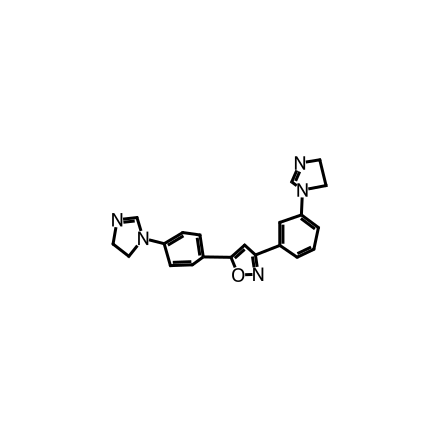 C1=NCCN1c1ccc(-c2cc(-c3cccc(N4C=NCC4)c3)no2)cc1